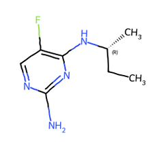 CC[C@@H](C)Nc1nc(N)ncc1F